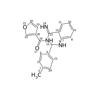 Cc1ccc(CNc2ccccc2C(=N)NC(=O)c2ccoc2)cc1